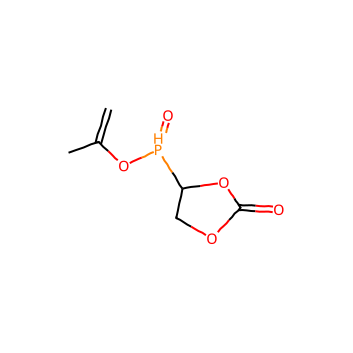 C=C(C)O[PH](=O)C1COC(=O)O1